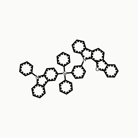 c1ccc(-n2c3ccccc3c3cc([Si](c4ccccc4)(c4ccccc4)c4cccc(-n5c6ccccc6c6ccc7c8ccccc8oc7c65)c4)ccc32)cc1